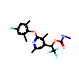 CNC(=O)OC(c1cc(C)nc(Oc2c(C)cc(Cl)cc2C)c1C)C(F)(F)F